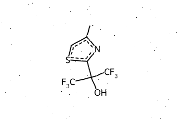 [CH2]c1csc(C(O)(C(F)(F)F)C(F)(F)F)n1